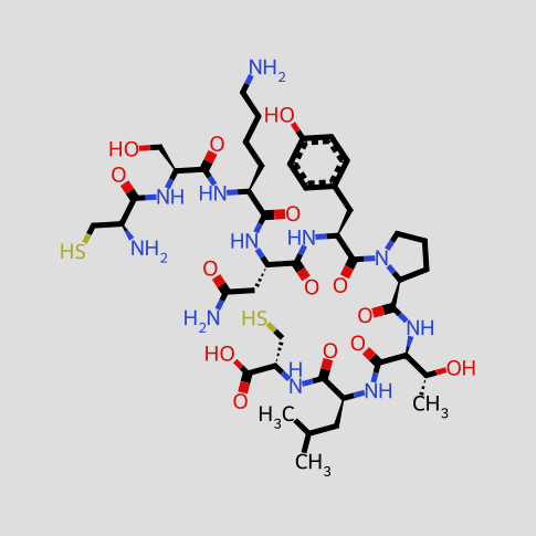 CC(C)C[C@H](NC(=O)[C@@H](NC(=O)[C@@H]1CCCN1C(=O)[C@H](Cc1ccc(O)cc1)NC(=O)[C@H](CC(N)=O)NC(=O)[C@H](CCCCN)NC(=O)[C@H](CO)NC(=O)[C@@H](N)CS)[C@@H](C)O)C(=O)N[C@@H](CS)C(=O)O